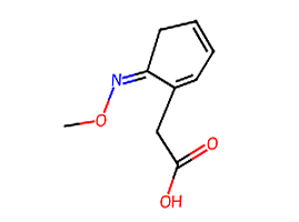 CO/N=C1/CC=CC=C1CC(=O)O